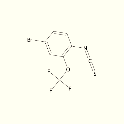 FC(F)(F)Oc1cc(Br)ccc1N=C=S